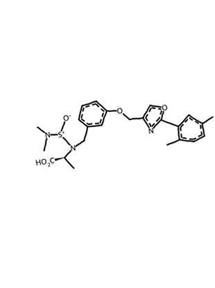 Cc1ccc(C)c(-c2nc(COc3cccc(CN([C@@H](C)C(=O)O)[S+]([O-])N(C)C)c3)co2)c1